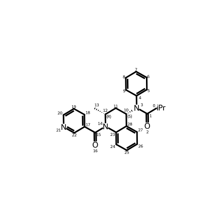 CC(C)C(=O)N(c1ccccc1)[C@H]1C[C@@H](C)N(C(=O)c2cccnc2)c2ccccc21